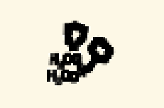 CON(Cc1ccccc1)OC.c1cncnc1